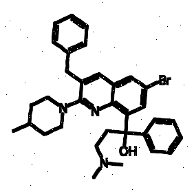 CC1CCN(c2nc3c(C(O)(CCN(C)C)c4ccccc4)cc(Br)cc3cc2Cc2ccccc2)CC1